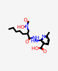 CCCCCC(CN(O)C=O)C(=O)NNc1nc(C)ccc1C(=O)O